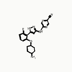 N#Cc1cnc(Nc2cc(-c3c(F)cccc3OC3CCC(N)CC3)[nH]n2)cn1